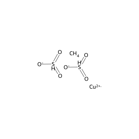 C.O=[SH](=O)[O-].O=[SH](=O)[O-].[Cu+2]